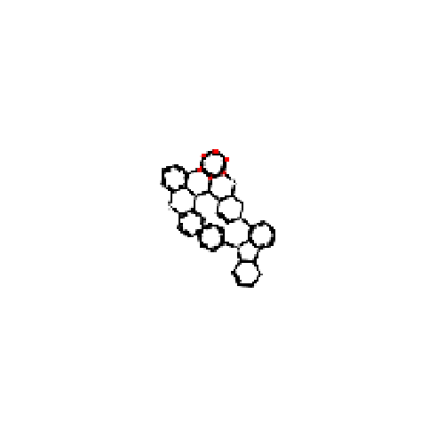 C1=CC2C(CC1)c1cccc(C3C=CC4C(C3)SC3=CCCC=C3C4C3c4ccccc4Sc4cccc(-c5ccccc5)c43)c1N2c1ccccc1